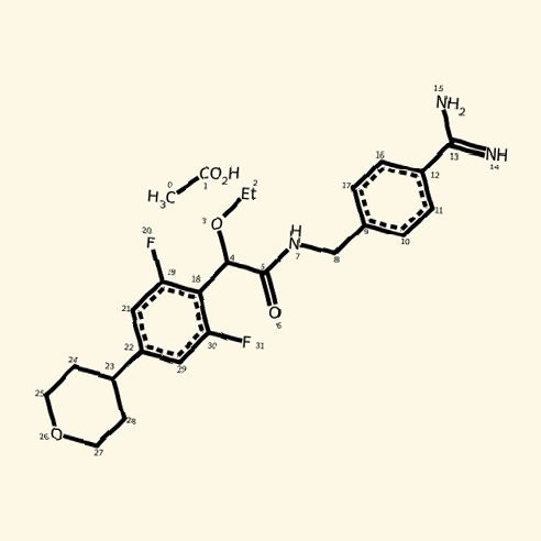 CC(=O)O.CCOC(C(=O)NCc1ccc(C(=N)N)cc1)c1c(F)cc(C2CCOCC2)cc1F